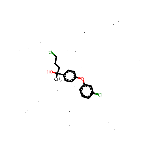 CC(O)(CCCCl)c1ccc(Oc2cccc(Cl)c2)cc1